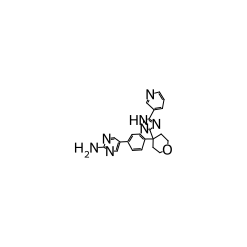 Nc1ncc(-c2ccc(C3(c4n[nH]c(-c5cccnc5)n4)CCOCC3)cc2)cn1